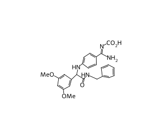 COc1cc(OC)cc(C(Nc2ccc(/C(N)=N/C(=O)O)cc2)C(=O)NCc2ccccc2)c1